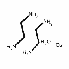 NCCN.NCCN.O.[Cu]